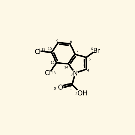 O=C(O)n1cc(Br)c2ccc(Cl)c(Cl)c21